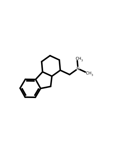 CN(C)CC1CCCC2c3ccccc3CC12